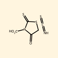 N=C=S.O=C(O)N1C(=O)CSC1=S